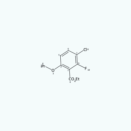 CCOC(=O)c1c(OC(C)C)ccc(Cl)c1F